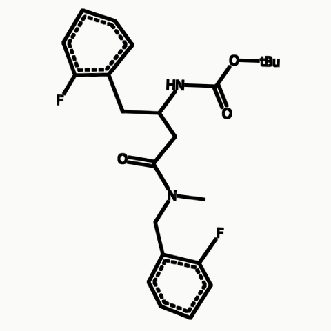 CN(Cc1ccccc1F)C(=O)CC(Cc1ccccc1F)NC(=O)OC(C)(C)C